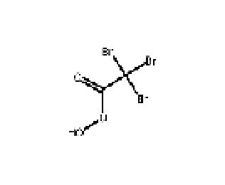 O=C(OO)C(Br)(Br)Br